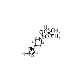 CC(C)(C)OC(=O)N1CCC(n2ccc(I)n2)CC1